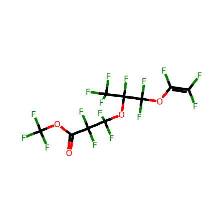 O=C(OC(F)(F)F)C(F)(F)C(F)(F)OC(F)(C(F)(F)F)C(F)(F)OC(F)=C(F)F